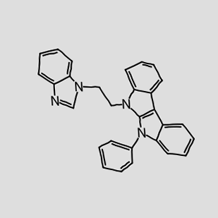 c1ccc(-n2c3ccccc3c3c4ccccc4n(CCn4cnc5ccccc54)c32)cc1